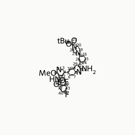 COc1ncc(-c2ccc3nc(N)c(-c4cccc(N5CCN(C(=O)OC(C)(C)C)CC5)c4)cc3c2)cc1NS(=O)(=O)c1ccc(F)cc1F